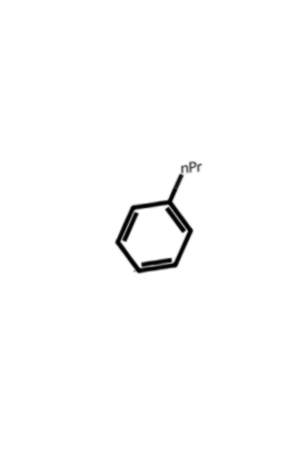 CCCc1cc[c]cc1